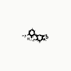 Cc1cccc(-c2cc3nsnc3cc2F)c1C